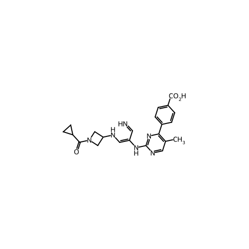 Cc1cnc(N/C(C=N)=C/NC2CN(C(=O)C3CC3)C2)nc1-c1ccc(C(=O)O)cc1